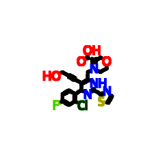 O=C(O)[C@@H]1COCCN1CC1=C(C#CCO)C(c2ccc(F)cc2Cl)N=C(c2nccs2)N1